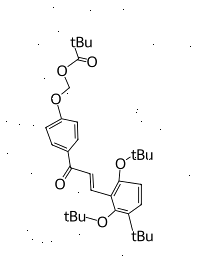 CC(C)(C)Oc1ccc(C(C)(C)C)c(OC(C)(C)C)c1C=CC(=O)c1ccc(OCOC(=O)C(C)(C)C)cc1